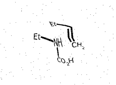 C=CCC.CCNC(=O)O